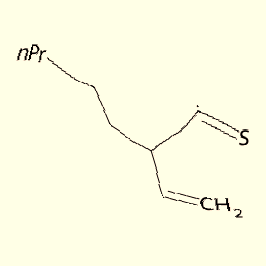 C=CC([C]=S)CCCCC